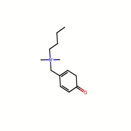 CCCC[N+](C)(C)CC1=CCC(=O)C=C1